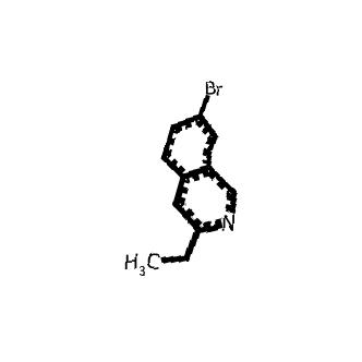 CCc1cc2ccc(Br)cc2cn1